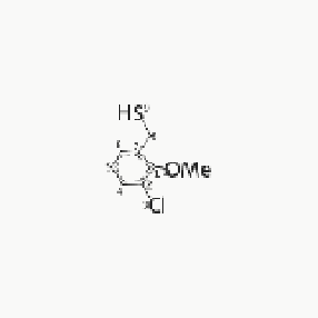 COc1c(Cl)cccc1CS